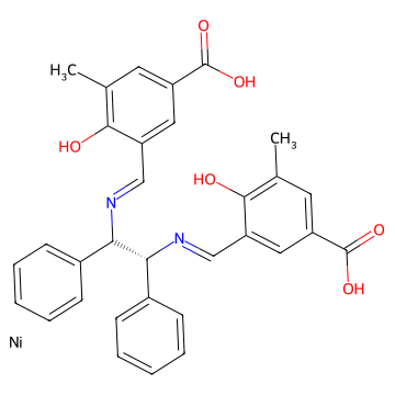 Cc1cc(C(=O)O)cc(C=NC(c2ccccc2)[C@H](N=Cc2cc(C(=O)O)cc(C)c2O)c2ccccc2)c1O.[Ni]